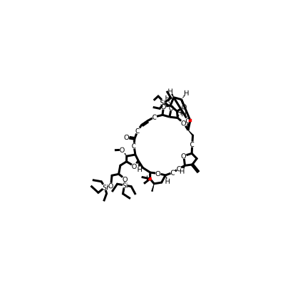 C=C1CC2CC[C@@]34C[C@H]5O[C@@H]6[C@@H](OC(C/C=C/CC(=O)CC7[C@@H](OC)C(CC(CO[Si](CC)(CC)CC)O[Si](CC)(CC)CC)O[C@H]7C[C@H]7O[C@@H](CC[C@@H]1O2)C[C@@H](C)C7(C)C)C(O[Si](CC)(CC)CC)[C@@H]6O3)[C@H]5O4